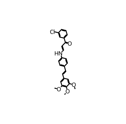 COc1cc(C=Cc2ccc(NC=CC(=O)c3cccc(Cl)c3)cc2)cc(OC)c1OC